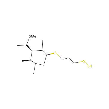 CSC(C)[C@H]1C(C)[C@@H](SCCCSS)CC(C)[C@H]1C